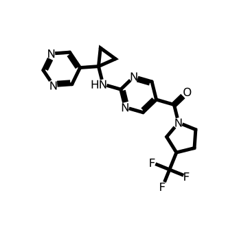 O=C(c1cnc(NC2(c3cncnc3)CC2)nc1)N1CCC(C(F)(F)F)C1